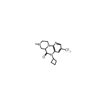 CN1CCN2c3ncc(C(F)(F)F)cc3N(C3CCC3)C(=O)C2C1